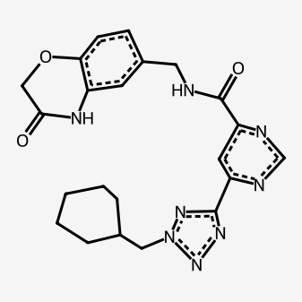 O=C1COc2ccc(CNC(=O)c3cc(-c4nnn(CC5CCCCC5)n4)ncn3)cc2N1